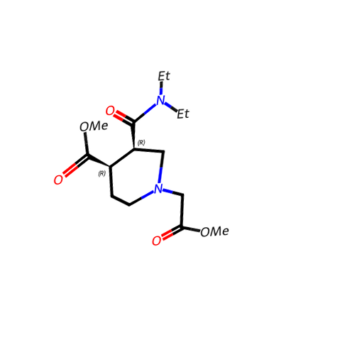 CCN(CC)C(=O)[C@H]1CN(CC(=O)OC)CC[C@H]1C(=O)OC